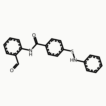 O=Cc1ccccc1NC(=O)c1ccc(SNc2ccccc2)cc1